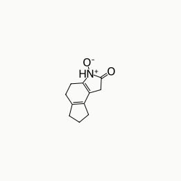 O=C1CC2=C(CCC3=C2CCC3)[NH+]1[O-]